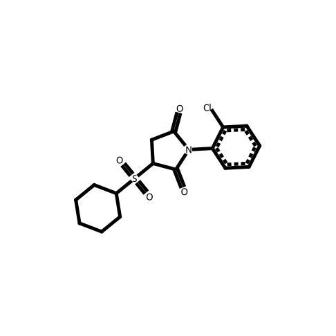 O=C1CC(S(=O)(=O)C2CCCCC2)C(=O)N1c1ccccc1Cl